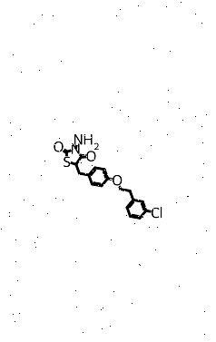 NN1C(=O)SC(Cc2ccc(OCCc3cccc(Cl)c3)cc2)C1=O